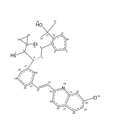 CCC1(C(S)[C@H](CCc2ccccc2C(C)(C)O)c2cccc(/C=C/c3ccc4ccc(Cl)cc4n3)c2)CC1